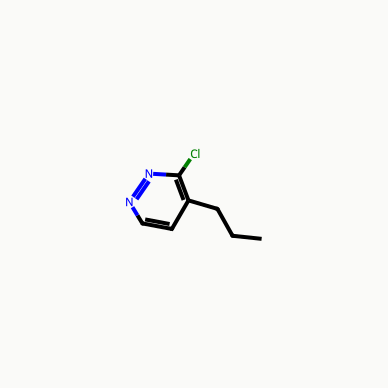 CCCc1ccnnc1Cl